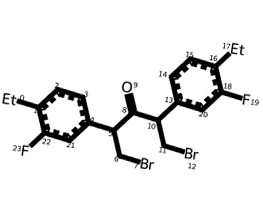 CCc1ccc(C(CBr)C(=O)C(CBr)c2ccc(CC)c(F)c2)cc1F